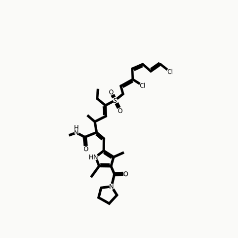 CC/C(=C\C(C)/C(=C/c1[nH]c(C)c(C(=O)N2CCCC2)c1C)C(=O)NC)S(=O)(=O)C/C=C(Cl)/C=C\C=C\Cl